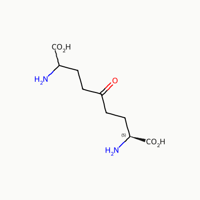 NC(CCC(=O)CC[C@H](N)C(=O)O)C(=O)O